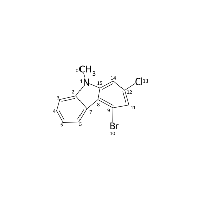 Cn1c2ccccc2c2c(Br)cc(Cl)cc21